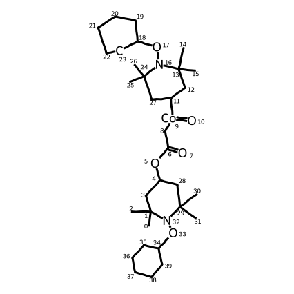 CC1(C)CC(OC(=O)[CH2][Co](=[O])[CH]2CC(C)(C)N(OC3CCCCC3)C(C)(C)C2)CC(C)(C)N1OC1CCCCC1